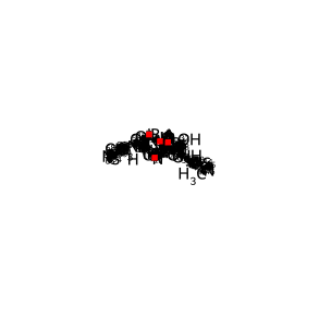 CC[C@H](C)[C@H](NCCc1ccccc1)C(=O)N1C[C@H](Oc2cnc3c(c2)C(=O)N([C@H](C(=O)N2C[C@H](O)C[C@H]2C(=O)NCc2ccc(-c4scnc4C)cc2)C(C)C)C3)C[C@H]1C(=O)NCc1ccc(-c2scnc2C)cc1